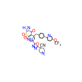 CN1CCC(C#N)(c2nnc(C3=CNC4=C(C(=O)[C@@H](N)CS4(=O)=O)C(Cc4ccc(-c5ccc(OC(F)(F)F)cn5)cc4)=C3)o2)CC1